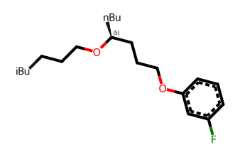 CCCC[C@@H](CCCOc1cccc(F)c1)OCCCC(C)CC